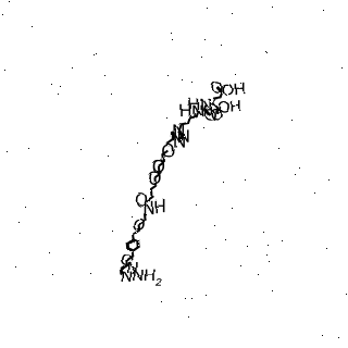 Nc1nccc(OCc2ccc(CCOCCNC(=O)CCCOCOCCOCc3cn(CCCCNC(=O)N[C@@H](CCC(=O)O)C(=O)O)nn3)cc2)n1